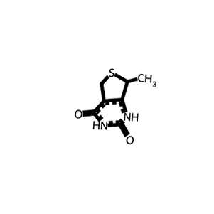 CC1SCc2c1[nH]c(=O)[nH]c2=O